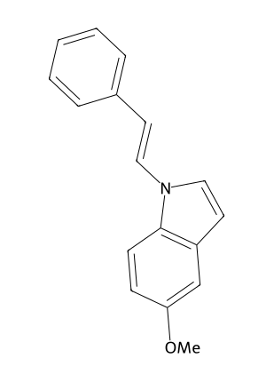 COc1ccc2c(ccn2C=Cc2ccccc2)c1